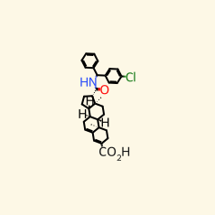 C[C@]12CC[C@H]3[C@@H](CC=C4C=C(C(=O)O)CC[C@@]43C)[C@@H]1CC[C@@H]2C(=O)NC(c1ccccc1)c1ccc(Cl)cc1